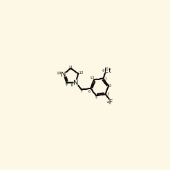 CCc1cc(F)cc(CN2C=NCC2)c1